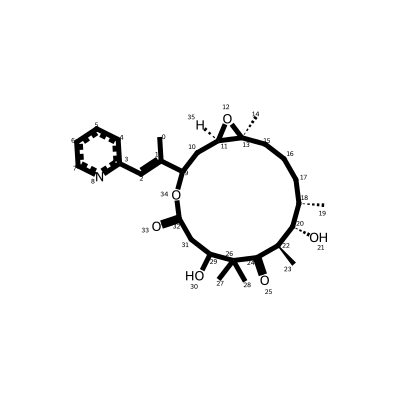 CC(=Cc1ccccn1)C1C[C@H]2O[C@@]2(C)CCC[C@H](C)[C@H](O)[C@@H](C)C(=O)C(C)(C)C(O)CC(=O)O1